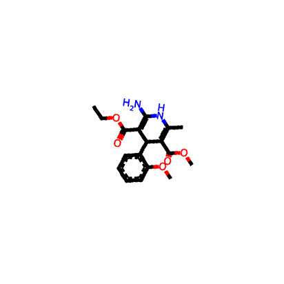 CCOC(=O)C1=C(N)NC(C)=C(C(=O)OC)C1c1ccccc1OC